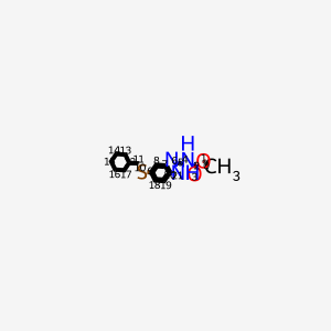 COC(=O)Nc1nc2cc(SCC3CCCCC3)ccc2[nH]1